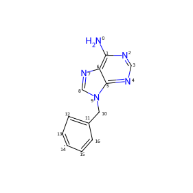 Nc1ncnc2c1ncn2Cc1cc[c]cc1